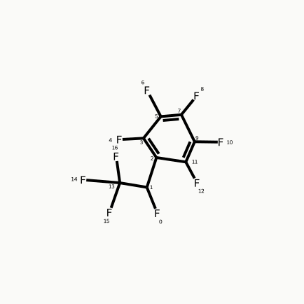 F[C](c1c(F)c(F)c(F)c(F)c1F)C(F)(F)F